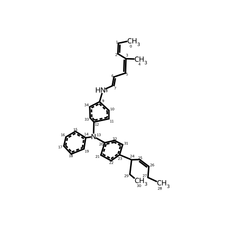 C\C=C/C(C)=C\C=C\Nc1ccc(N(c2ccccc2)c2ccc(C(/C=C\CC)CC)cc2)cc1